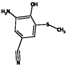 CSc1cc(C#N)cc(N)c1O